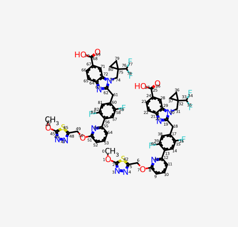 COc1nnc(COc2cccc(-c3cc(F)c(Cc4nc5ccc(C(=O)O)cc5n4CC4(C(F)F)CC4)cc3F)n2)s1.COc1nnc(COc2cccc(-c3cc(F)c(Cc4nc5ccc(C(=O)O)cc5n4CC4(C(F)F)CC4)cc3F)n2)s1